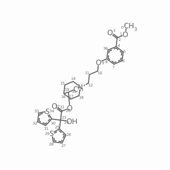 COC(=O)c1cccc(OCCC[N+]23CCC(CC2)C(OC(=O)C(O)(c2cccs2)c2cccs2)C3)c1